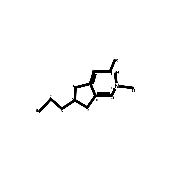 CC/C=C1/CC(CCC)C/C1=C/N(C)C